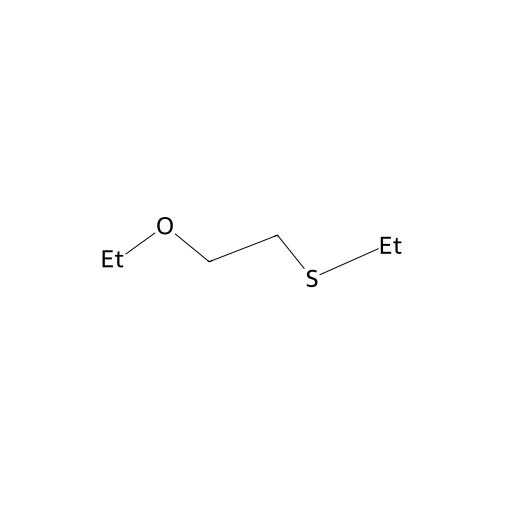 [CH2]CSCCOCC